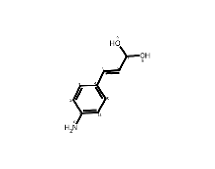 Nc1ccc(/C=C/C(O)O)cc1